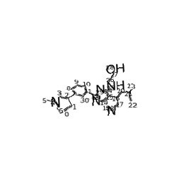 C=C/C(=C\N(C)C)c1cccc(-c2ncc(C(/C=N\C)=C/C(=C)C)c(NCCO)n2)c1